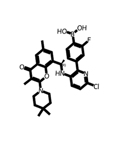 Cc1cc([C@@H](C)Nc2ccc(Cl)nc2-c2ccc(B(O)O)c(F)c2)c2oc(N3CCC(C)(C)CC3)c(C)c(=O)c2c1